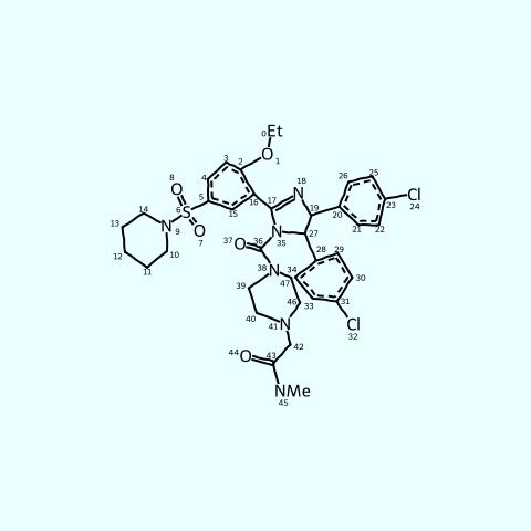 CCOc1ccc(S(=O)(=O)N2CCCCC2)cc1C1=NC(c2ccc(Cl)cc2)C(c2ccc(Cl)cc2)N1C(=O)N1CCN(CC(=O)NC)CC1